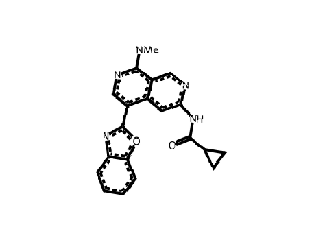 CNc1ncc(-c2nc3ccccc3o2)c2cc(NC(=O)C3CC3)ncc12